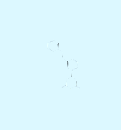 O=C1CC(=O)OC(c2cccc(OCc3ccccc3)c2)O1